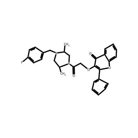 CC1CN(C(=O)COc2c(-c3ccccc3)oc3ccccc3c2=O)C(C)CN1Cc1ccc(F)cc1